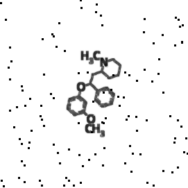 COc1cccc(OC(CC2CCCCN2C)c2ccccc2)c1